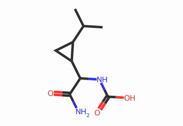 CC(C)C1CC1C(NC(=O)O)C(N)=O